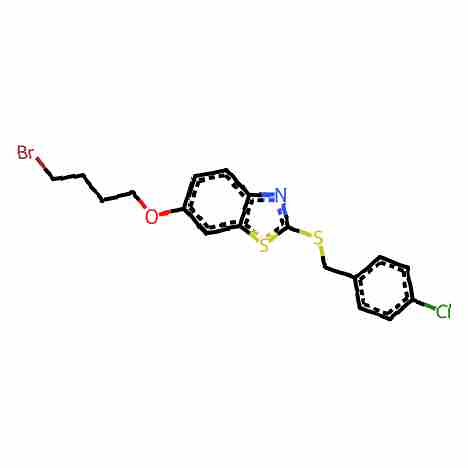 Clc1ccc(CSc2nc3ccc(OCCCCBr)cc3s2)cc1